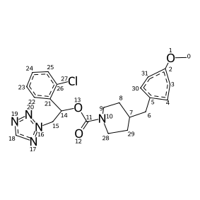 COc1ccc(CC2CCN(C(=O)OC(Cn3ncnn3)c3ccccc3Cl)CC2)cc1